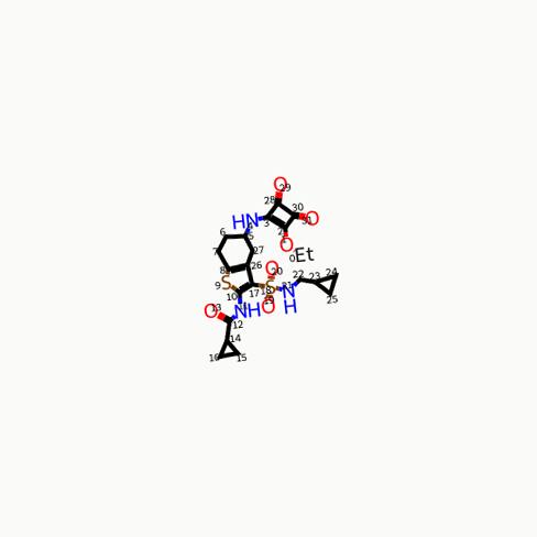 CCOc1c(NC2CCc3sc(NC(=O)C4CC4)c(S(=O)(=O)NCC4CC4)c3C2)c(=O)c1=O